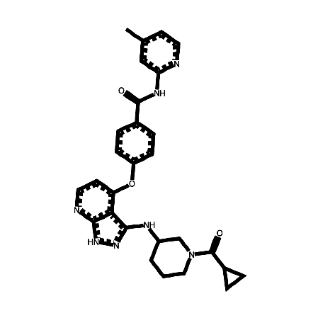 Cc1ccnc(NC(=O)c2ccc(Oc3ccnc4[nH]nc(NC5CCCN(C(=O)C6CC6)C5)c34)cc2)c1